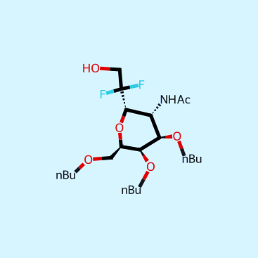 CCCCOC[C@H]1O[C@H](C(F)(F)CO)[C@H](NC(C)=O)[C@@H](OCCCC)[C@H]1OCCCC